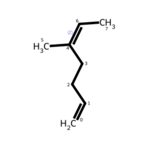 C=CCC/C(C)=C\C